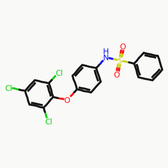 O=S(=O)(Nc1ccc(Oc2c(Cl)cc(Cl)cc2Cl)cc1)c1ccccc1